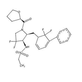 CCS(=O)(=O)N[C@@H]1[C@H](CC2C=CC=C(c3ccccc3)C2(F)F)N(C(=O)[C@H]2CCCO2)CC1(F)F